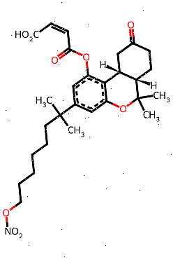 CC(C)(CCCCCCO[N+](=O)[O-])c1cc(OC(=O)/C=C\C(=O)O)c2c(c1)OC(C)(C)[C@H]1CCC(=O)C[C@@H]21